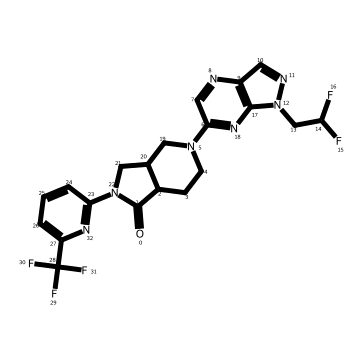 O=C1C2CCN(c3cnc4cnn(CC(F)F)c4n3)CC2CN1c1cccc(C(F)(F)F)n1